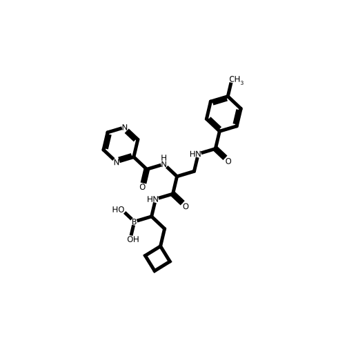 Cc1ccc(C(=O)NCC(NC(=O)c2cnccn2)C(=O)NC(CC2CCC2)B(O)O)cc1